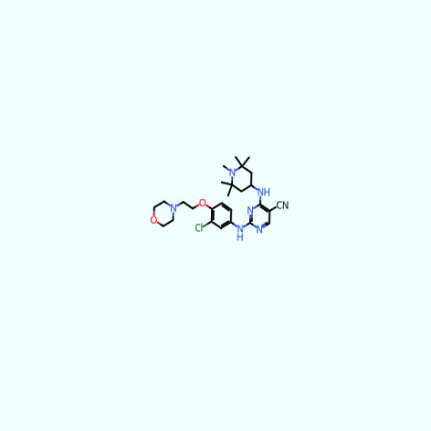 CN1C(C)(C)CC(Nc2nc(Nc3ccc(OCCN4CCOCC4)c(Cl)c3)ncc2C#N)CC1(C)C